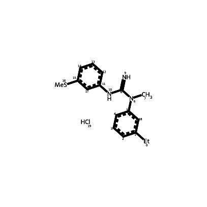 CCc1cccc(N(C)C(=N)Nc2cccc(SC)c2)c1.Cl